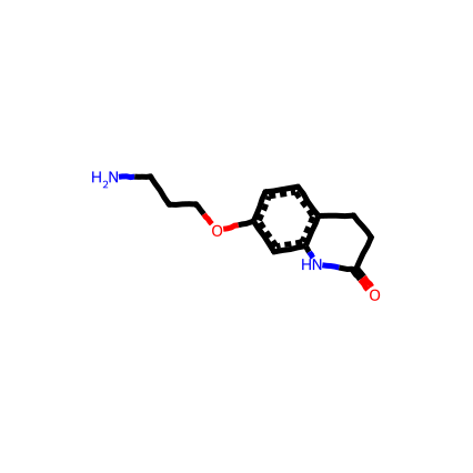 NCCCOc1ccc2c(c1)NC(=O)CC2